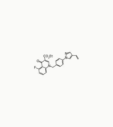 C=Cc1cnn(-c2ccc(Cn3cc(C(=O)OCC)c(=O)c4c(F)cccc43)cc2)c1